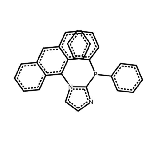 c1ccc(P(c2ccccc2)c2nccn2-c2c3ccccc3cc3ccccc23)cc1